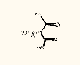 CCCC(=O)NC(=O)CCC.O.O